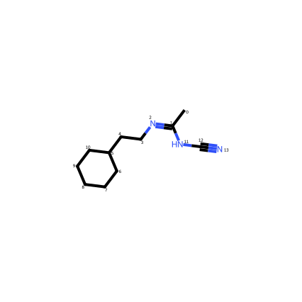 CC(=NCCC1CCCCC1)NC#N